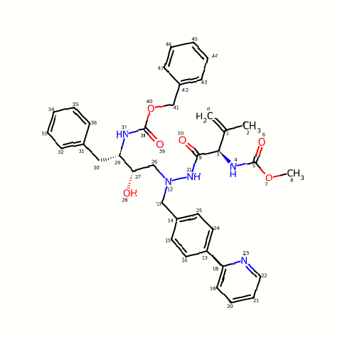 C=C(C)[C@@H](NC(=O)OC)C(=O)NN(Cc1ccc(-c2ccccn2)cc1)C[C@H](O)[C@H](Cc1ccccc1)NC(=O)OCc1ccccc1